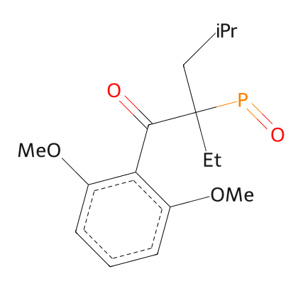 CCC(CC(C)C)(P=O)C(=O)c1c(OC)cccc1OC